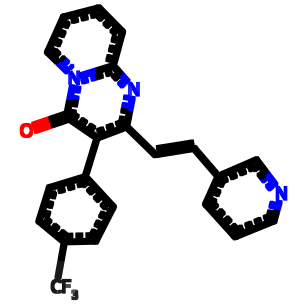 O=c1c(-c2ccc(C(F)(F)F)cc2)c(/C=C/c2cccnc2)nc2ccccn12